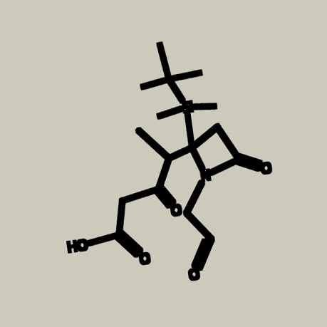 CC(C(=O)CC(=O)O)C1([Si](C)(C)C(C)(C)C)CC(=O)N1CC=O